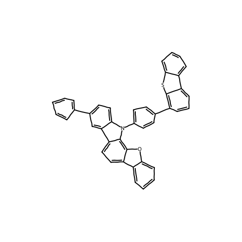 c1ccc(-c2ccc3c(c2)c2ccc4c5ccccc5oc4c2n3-c2ccc(-c3cccc4c3sc3ccccc34)cc2)cc1